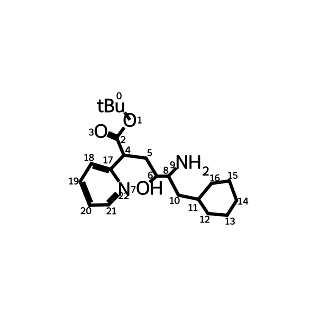 CC(C)(C)OC(=O)C(CC(O)C(N)CC1CCCCC1)c1ccccn1